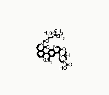 Cc1ccc2ccn(COCC[Si](C)(C)C)c(=O)c2c1-c1cc2ncc3c(c2cc1Cl)N1CCN(C(=O)O)C[C@@H]1CO3